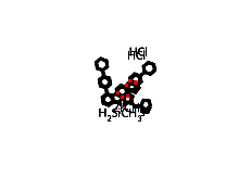 Cl.Cl.[CH3][Zr]([CH3])(=[SiH2])([CH]1C(CC23CCC(CC2)C3)=Cc2c(-c3ccc(C4CCCCC4)cc3)cccc21)[CH]1C(CC23CCC(CC2)C3)=Cc2c(-c3ccc(C4CCCCC4)cc3)cccc21